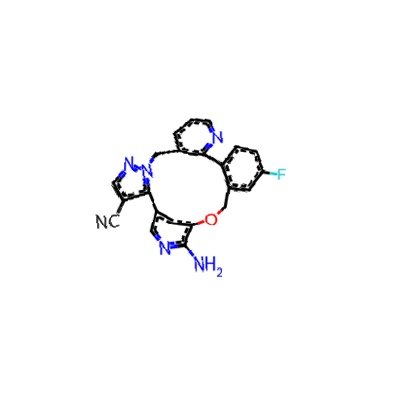 N#Cc1cnn2c1-c1cnc(N)c(c1)OCc1cc(F)ccc1-c1ncccc1C2